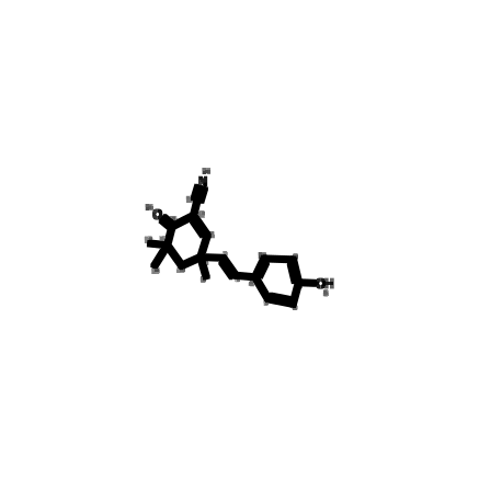 CC1(C=Cc2ccc(O)cc2)C=C(C#N)C(=O)C(C)(C)C1